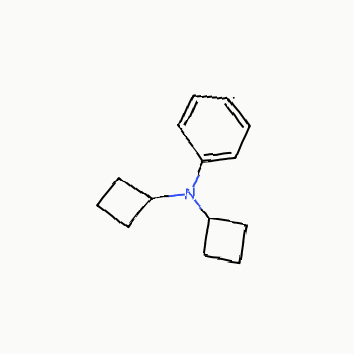 [c]1ccc(N(C2CCC2)C2CCC2)cc1